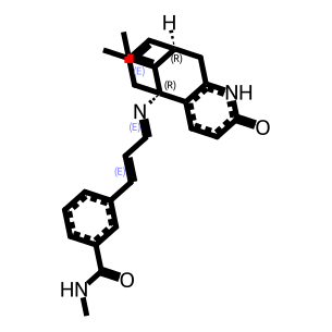 C/C=C1\[C@H]2C=C(C)C[C@]1(/N=C/C=C/c1cccc(C(=O)NC)c1)c1ccc(=O)[nH]c1C2